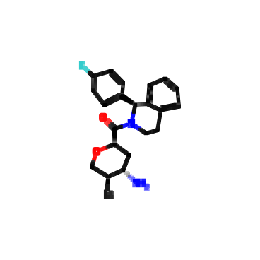 CC[C@H]1CO[C@@H](C(=O)N2CCc3ccccc3[C@@H]2c2ccc(F)cc2)C[C@@H]1N